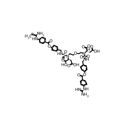 C/N=C(/N)Nc1ccc(C(=O)Oc2ccc(CNS(=O)(=O)N(CCOCCN([C@@H](CC(=O)O)C(=O)O)S(=O)(=O)NCc3ccc(OC(=O)c4ccc(NC(=N)N)cc4)cc3)[C@@H](CC(=O)O)C(=O)O)cc2)cc1